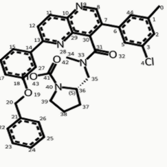 Cc1cc(Cl)cc(-c2cnc3ccc(-c4cccc(OCc5ccccc5)c4)nc3c2C(=O)N(C)C[C@@H]2CCCN2C(=O)O)c1